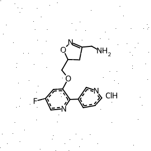 Cl.NCC1=NOC(COc2cc(F)cnc2-c2cccnc2)C1